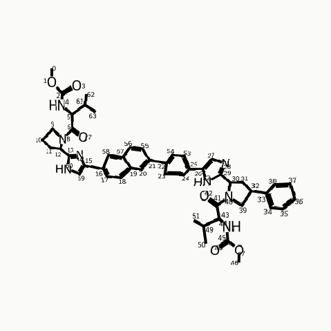 COC(=O)NC(C(=O)N1CCCC1c1nc(-c2ccc3cc(-c4ccc(-c5cnc(C6CC(c7ccccc7)CN6C(=O)C(NC(=O)OC)C(C)C)[nH]5)cc4)ccc3c2)c[nH]1)C(C)C